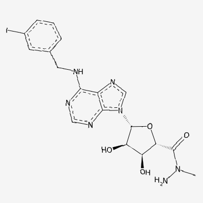 CN(N)C(=O)[C@H]1O[C@@H](n2cnc3c(NCc4cccc(I)c4)ncnc32)[C@H](O)[C@@H]1O